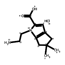 CC1(C)Cc2cc(C(=O)O)n(CCN)c2C1.Cl